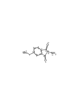 CC(C)(C)Cc1ccc2c(c1)C(=O)N(N)C2=O